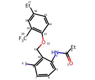 CCC(=O)Nc1cccc(I)c1COc1ccc(CC)cc1C(F)(F)F